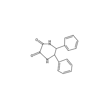 O=C1NC(c2ccccc2)C(c2ccccc2)NC1=O